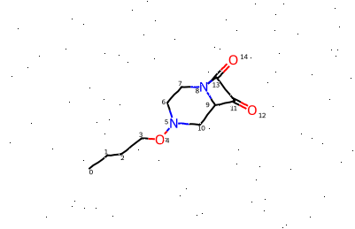 CCCCON1CCN2[C](C1)C(=O)C2=O